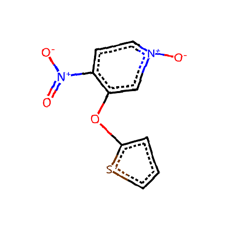 O=[N+]([O-])c1cc[n+]([O-])cc1Oc1cccs1